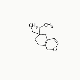 CCC1(CC)[CH]C2=C(CC1)COC=C2